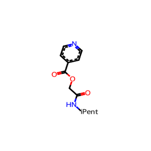 CCCC(C)NC(=O)COC(=O)c1ccncc1